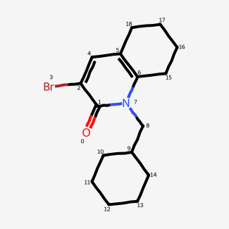 O=c1c(Br)cc2c(n1CC1CCCCC1)CCCC2